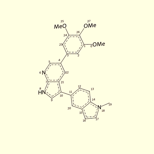 COc1cc(-c2cnc3[nH]cc(-c4ccc5c(ccn5C)c4)c3c2)cc(OC)c1OC